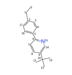 CCc1ccc(-c2ccc(C(C)(C)C)cn2)cc1